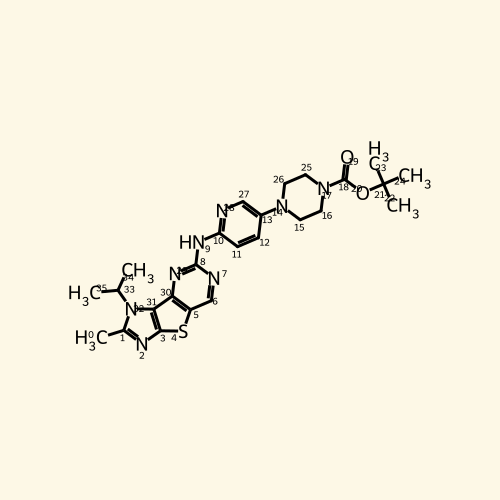 Cc1nc2sc3cnc(Nc4ccc(N5CCN(C(=O)OC(C)(C)C)CC5)cn4)nc3c2n1C(C)C